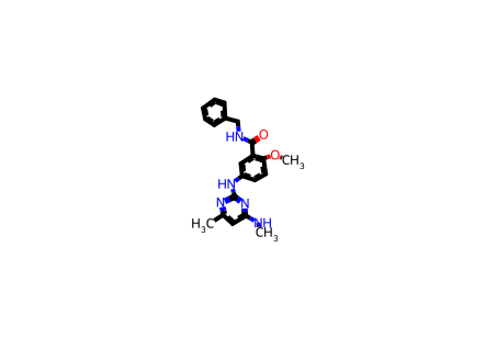 CNc1cc(C)nc(Nc2ccc(OC)c(C(=O)NCc3ccccc3)c2)n1